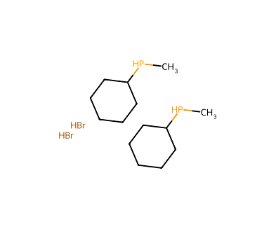 Br.Br.CPC1CCCCC1.CPC1CCCCC1